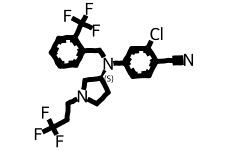 N#Cc1ccc(N(Cc2ccccc2C(F)(F)F)[C@H]2CCN(CCC(F)(F)F)C2)cc1Cl